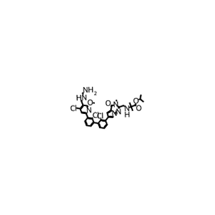 COc1nc(-c2cccc(-c3cccc(-c4cc5c(=O)n(C)c(CNC(C)(C)C(=O)OC(C)C)nn5c4)c3Cl)c2Cl)cc(Cl)c1CNCN